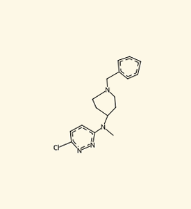 CN(c1ccc(Cl)nn1)C1CCN(Cc2ccccc2)CC1